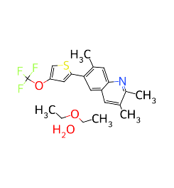 CCOCC.Cc1cc2nc(C)c(C)cc2cc1-c1cc(OC(F)(F)F)cs1.O